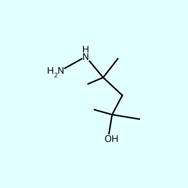 CC(C)(O)CC(C)(C)NN